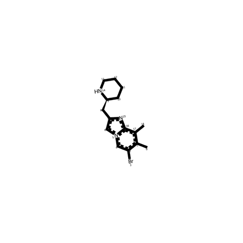 Cc1c(Br)cn2cc(C[C@@H]3CCCCN3)nc2c1C